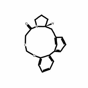 O=C1CCCOc2ccccc2-c2cccc(c2)C[C@H]2CCCN12